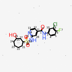 O=C(Nc1ccc(F)c(Cl)c1)c1ccnc(NS(=O)(=O)C2CCCCC(O)C2)c1